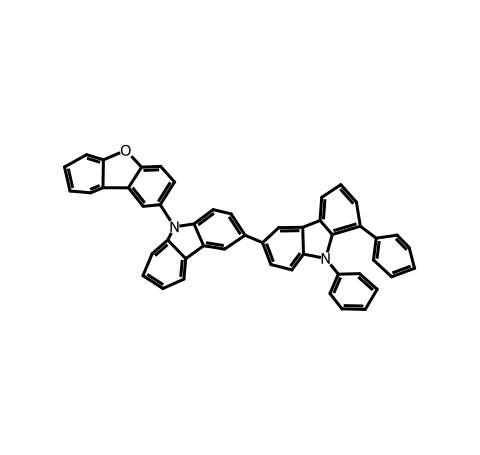 c1ccc(-c2cccc3c4cc(-c5ccc6c(c5)c5ccccc5n6-c5ccc6oc7ccccc7c6c5)ccc4n(-c4ccccc4)c23)cc1